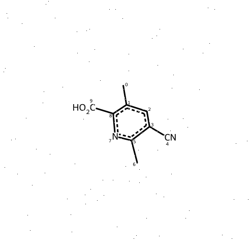 Cc1cc(C#N)c(C)nc1C(=O)O